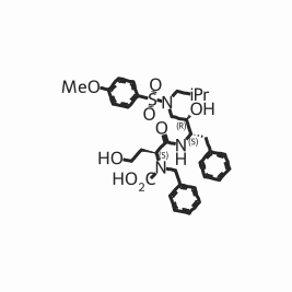 COc1ccc(S(=O)(=O)N(CC(C)C)C[C@@H](O)[C@H](Cc2ccccc2)NC(=O)[C@H](CCO)N(Cc2ccccc2)C(=O)O)cc1